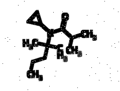 CCCC(C)(C)N(C(=O)C(C)C)C1CC1